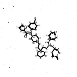 C=C/C=C\C(=C/C)CN(CCC1(CCN2CCC(N(C(=O)c3ccco3)c3ccc(C)cc3)CC2)CCCCC1)Cc1cccnc1